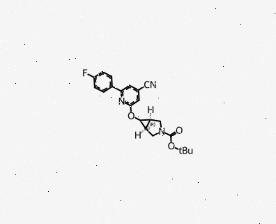 CC(C)(C)OC(=O)N1C[C@@H]2C(Oc3cc(C#N)cc(-c4ccc(F)cc4)n3)[C@@H]2C1